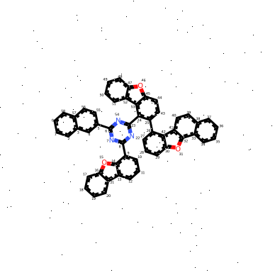 c1ccc2cc(-c3nc(-c4cccc5c4oc4ccccc45)nc(-c4c(-c5cccc6oc7c8ccccc8ccc7c56)ccc5oc6ccccc6c45)n3)ccc2c1